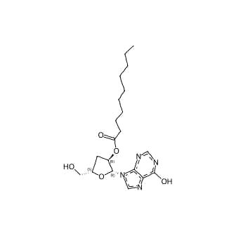 CCCCCCCCCC(=O)O[C@@H]1C[C@@H](CO)O[C@H]1n1cnc2c(O)ncnc21